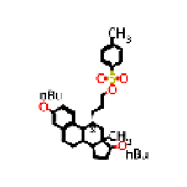 CCCCOc1ccc2c(c1)CCC1C2[C@@H](CCCOS(=O)(=O)c2ccc(C)cc2)CC2(C)C(OCCCC)CCC12